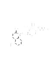 CN[C@@H]1CCN(CCn2c(=O)ccc3c(F)cc(F)cc32)C[C@@H]1C(=O)O